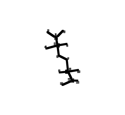 CN(C)[Si](C)(C)CC[Si](C)(C)N(C)C